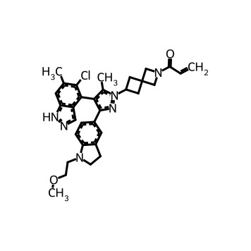 C=CC(=O)N1CC2(CC(n3nc(-c4ccc5c(c4)CCN5CCOC)c(-c4c(Cl)c(C)cc5[nH]ncc45)c3C)C2)C1